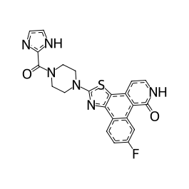 O=C(c1ncc[nH]1)N1CCN(c2nc3c4ccc(F)cc4c4c(=O)[nH]ccc4c3s2)CC1